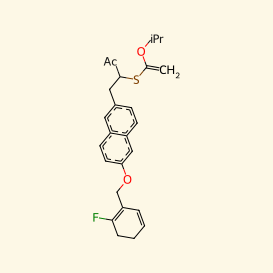 C=C(OC(C)C)SC(Cc1ccc2cc(OCC3=C(F)CCC=C3)ccc2c1)C(C)=O